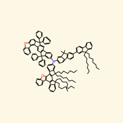 CCCCCCCC1(CCCCCCC)c2ccccc2-c2ccc(-c3ccc4c(c3)C(C)(C)c3cc(N(c5ccc6c(c5)C(CCCCCCC)(CCCCCCC)c5c7c(c8c(oc9ccccc98)c5-6)-c5ccccc5C7(CCCCCCC)CCCCCCC)c5ccc6c(c5)C(c5ccccc5)(c5ccccc5)c5cc7c(cc5-6)C(c5ccccc5)(c5ccccc5)c5ccc6oc8ccccc8c6c5-7)ccc3-4)cc21